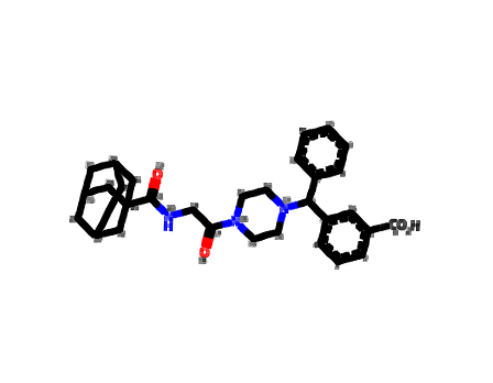 O=C(O)c1cccc(C(c2ccccc2)N2CCN(C(=O)CNC(=O)C34CC5CC(CC(C5)C3)C4)CC2)c1